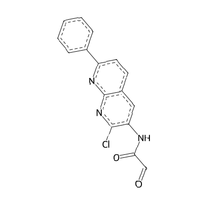 O=CC(=O)Nc1cc2ccc(-c3ccccc3)nc2nc1Cl